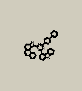 c1ccc(-c2ccc(-c3nc(C4=Nc5ccc6ccc7ccccc7c6c54)nc(-c4cccc5sc6ccccc6c45)n3)cc2)cc1